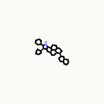 c1ccc(-c2[nH]c3c(cc4ccc5c(-c6ccc7ccccc7c6)ccc6ccc3c4c65)c2-c2ccccc2)cc1